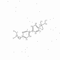 CCC(C)Oc1ccc(-c2ccc(C(C)(C)CC)cc2)cc1